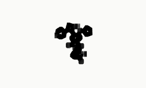 O=C1NC(=O)C2(N3Cc4cc(OC5CCCC5)c(C5NCC5c5ccncc5)cc4C3=O)CC1C2